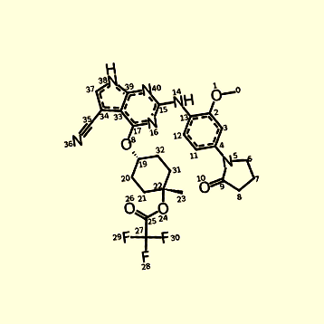 COc1cc(N2CCCC2=O)ccc1Nc1nc(O[C@H]2CC[C@@](C)(OC(=O)C(F)(F)F)CC2)c2c(C#N)c[nH]c2n1